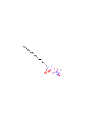 CCCCCCCCCCCCCCCC(NC(=O)OC(CC)N1CC(=O)N(CCO)C1=O)C(C)OC